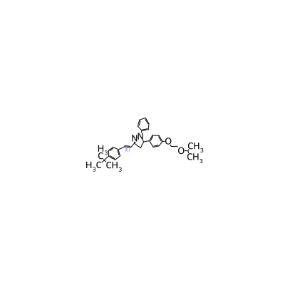 CC(C)OCCOc1ccc(C2CC(/C=C/c3ccc(C(C)(C)C)cc3)=NN2c2ccccc2)cc1